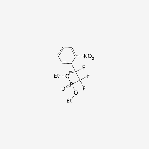 CCOP(=O)(OCC)C(F)(F)C(F)(F)c1ccccc1[N+](=O)[O-]